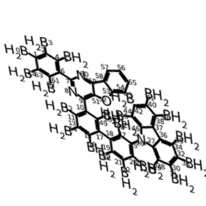 Bc1c(B)c(B)c(-c2nc(-c3c(B)c(B)c(B)c(-c4c(B)c(B)c(B)c(-n5c6c(B)c(B)c(B)c(B)c6c6c(B)c(B)c(B)c(B)c65)c4B)c3B)c3oc4ccccc4c3n2)c(B)c1B